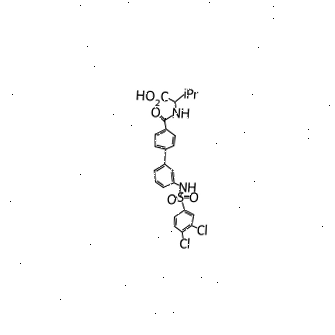 CC(C)C(NC(=O)c1ccc(-c2cccc(NS(=O)(=O)c3ccc(Cl)c(Cl)c3)c2)cc1)C(=O)O